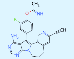 C#Cc1cc2c(cn1)-c1c(-c3ccc(OC(C)=N)c(F)c3)c3c(N)ncnc3n1CCC2